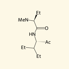 CCC(CC)[C@H](NC(=O)[C@H](CC)NC)C(C)=O